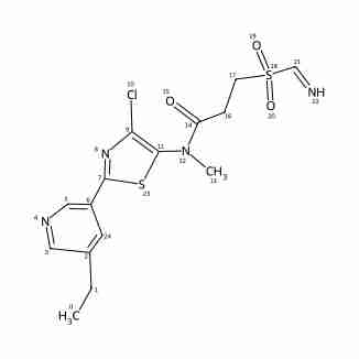 CCc1cncc(-c2nc(Cl)c(N(C)C(=O)CCS(=O)(=O)C=N)s2)c1